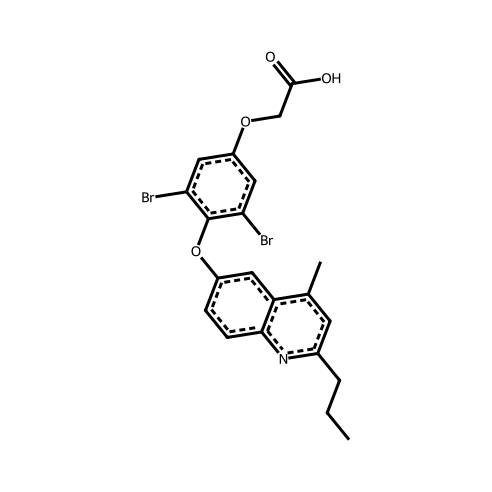 CCCc1cc(C)c2cc(Oc3c(Br)cc(OCC(=O)O)cc3Br)ccc2n1